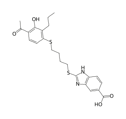 CCCc1c(SCCCCSc2nc3cc(C(=O)O)ccc3[nH]2)ccc(C(C)=O)c1O